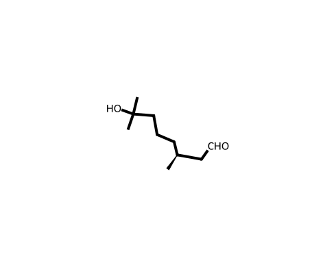 C[C@H](CC=O)CCCC(C)(C)O